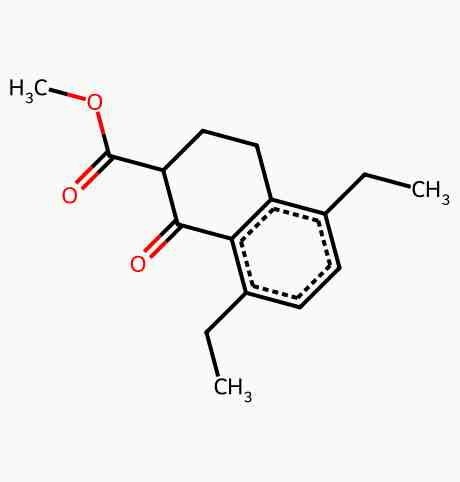 CCc1ccc(CC)c2c1CCC(C(=O)OC)C2=O